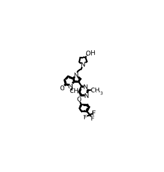 Cc1nc(Oc2ccc(C(F)(F)F)cc2)cc(-c2cn(CCN3CCC(O)C3)c3ccc(=O)n(C)c23)n1